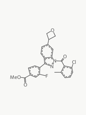 COC(=O)c1ccc(-c2nn(C(=O)c3c(C)cccc3Cl)c3cc(C4COC4)ccc23)c(F)c1